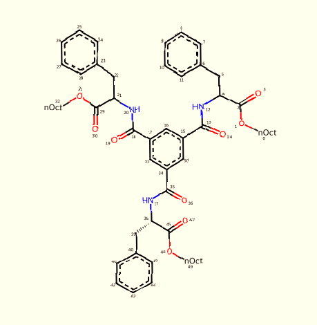 CCCCCCCCOC(=O)C(Cc1ccccc1)NC(=O)c1cc(C(=O)NC(Cc2ccccc2)C(=O)OCCCCCCCC)cc(C(=O)N[C@@H](Cc2ccccc2)C(=O)OCCCCCCCC)c1